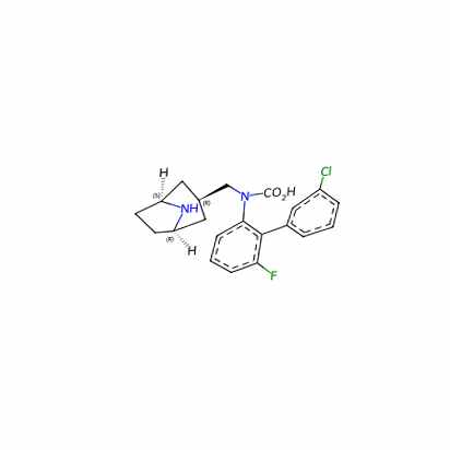 O=C(O)N(C[C@H]1C[C@H]2CC[C@@H](C1)N2)c1cccc(F)c1-c1cccc(Cl)c1